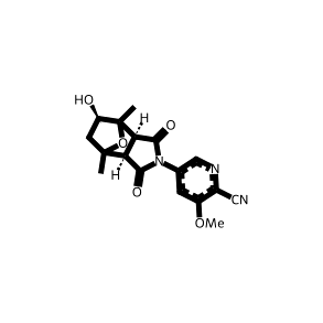 COc1cc(N2C(=O)[C@@H]3[C@H](C2=O)C2(C)OC3(C)C[C@H]2O)cnc1C#N